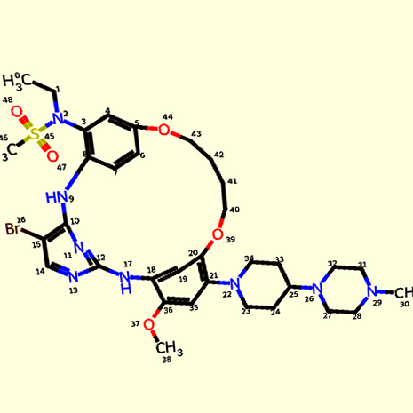 CCN(c1cc2ccc1Nc1nc(ncc1Br)Nc1cc(c(N3CCC(N4CCN(C)CC4)CC3)cc1OC)OCCCCO2)S(C)(=O)=O